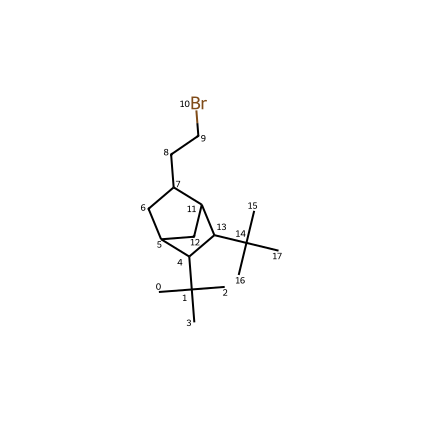 CC(C)(C)C1C2CC(CCBr)C(C2)C1C(C)(C)C